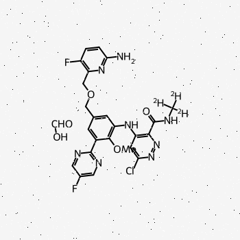 O=CO.[2H]C([2H])([2H])NC(=O)c1nnc(Cl)cc1Nc1cc(COCc2nc(N)ccc2F)cc(-c2ncc(F)cn2)c1OC